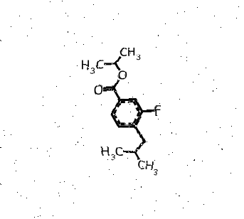 CC(C)Cc1ccc(C(=O)OC(C)C)cc1F